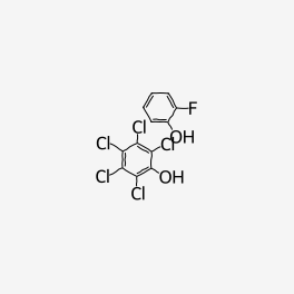 Oc1c(Cl)c(Cl)c(Cl)c(Cl)c1Cl.Oc1ccccc1F